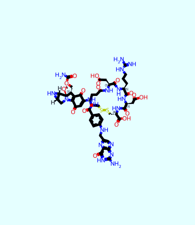 CO[C@@]12[C@H](COC(N)=O)C3=C(C(=O)C=C(NCCSSC[C@H](NC(=O)[C@H](CC(=O)O)NC(=O)[C@H](CCCNC(=N)N)NC(=O)[C@H](CC(=O)O)NC(=O)CC[C@@H](C)NC(=O)c4ccc(NCc5cnc6nc(N)[nH]c(=O)c6n5)cc4)C(=O)O)C3=O)N1C[C@@H]1N[C@@H]12